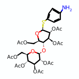 CC(=O)OC[C@H]1O[C@@H](Sc2ccc(N)cc2)[C@H](OC(C)=O)[C@@H](OC(C)=O)[C@@H]1O[C@H]1O[C@H](COC(C)=O)[C@@H](OC(C)=O)[C@H](OC(C)=O)[C@H]1OC(C)=O